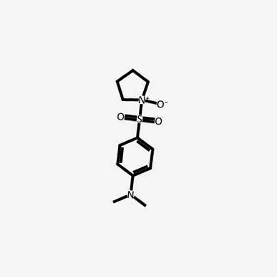 CN(C)c1ccc(S(=O)(=O)[N+]2([O-])CCCC2)cc1